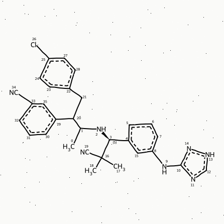 CC(N[C@@H](c1cccc(Nc2nc[nH]n2)c1)C(C)(C)C#N)C(Cc1ccc(Cl)cc1)c1cccc(C#N)c1